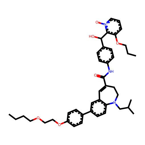 CCCCOCCOc1ccc(-c2ccc3c(c2)C=C(C(=O)Nc2ccc(C(O)c4c(OCCC)ccc[n+]4[O-])cc2)CCN3CC(C)C)cc1